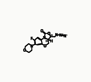 [N-]=[N+]=NC[C@@H]1OC(=O)N2c3cc(F)c(N4CCOCC4)cc3OC[C@@H]12